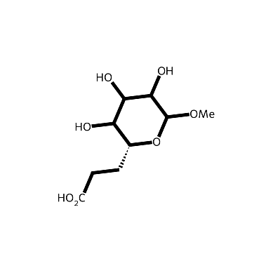 COC1O[C@H](CCC(=O)O)C(O)C(O)C1O